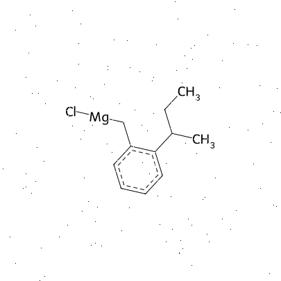 CCC(C)c1ccccc1[CH2][Mg][Cl]